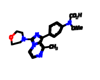 CON(C(=O)O)c1ccc(-c2nc(N3CCOCC3)n3ccnc(C)c23)cc1